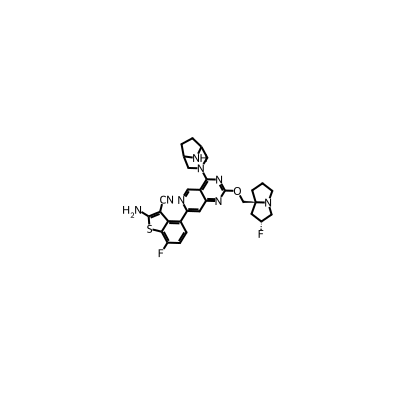 N#Cc1c(N)sc2c(F)ccc(-c3cc4nc(OC[C@@]56CCCN5C[C@H](F)C6)nc(N5CC6CCC(C5)N6)c4cn3)c12